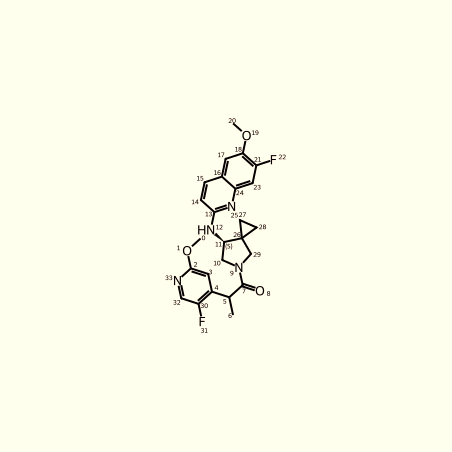 COc1cc(C(C)C(=O)N2C[C@@H](Nc3ccc4cc(OC)c(F)cc4n3)C3(CC3)C2)c(F)cn1